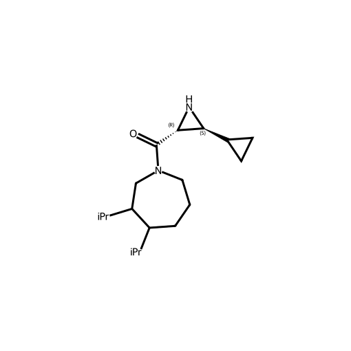 CC(C)C1CCCN(C(=O)[C@@H]2N[C@H]2C2CC2)CC1C(C)C